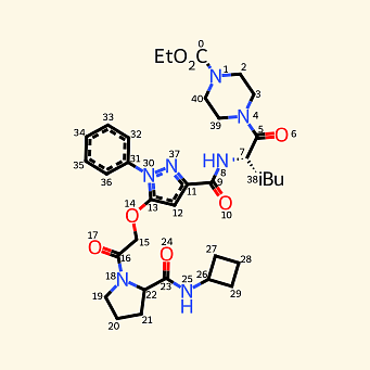 CCOC(=O)N1CCN(C(=O)[C@@H](NC(=O)c2cc(OCC(=O)N3CCCC3C(=O)NC3CCC3)n(-c3ccccc3)n2)[C@@H](C)CC)CC1